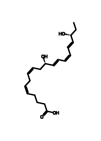 CC[C@@H](O)/C=C/C=C\C=C\[C@@H](O)C/C=C\C/C=C\CCCC(=O)O